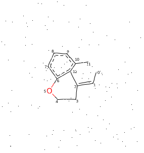 C/C=C1/CCOc2cccc(C)c21